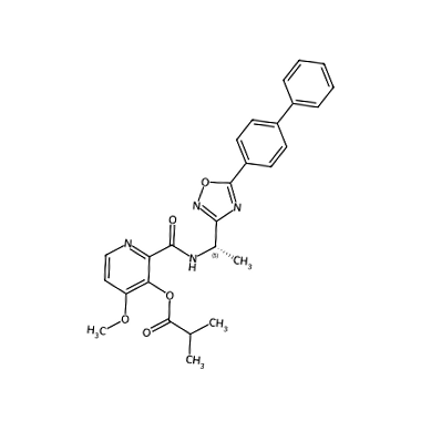 COc1ccnc(C(=O)N[C@@H](C)c2noc(-c3ccc(-c4ccccc4)cc3)n2)c1OC(=O)C(C)C